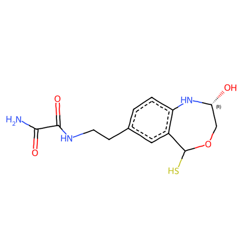 NC(=O)C(=O)NCCc1ccc2c(c1)C(S)OC[C@@H](O)N2